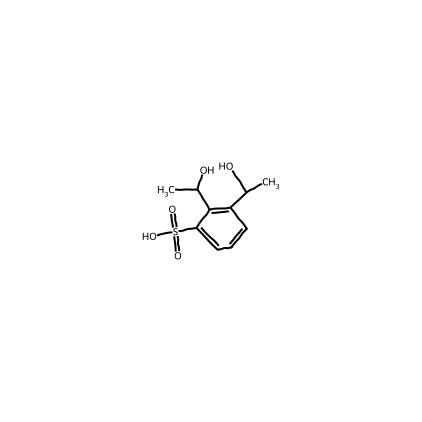 CC(O)c1cccc(S(=O)(=O)O)c1C(C)O